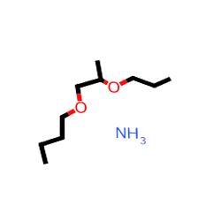 CCCCOCC(C)OCCC.N